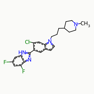 CN1CCC(CCCn2ccc3cc(-c4nc5c(F)cc(F)cc5[nH]4)c(Cl)cc32)CC1